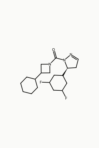 O=C(N1CC(C2CCCCC2)C1)N1N=CC[C@H]1C1CC(F)CC(F)C1